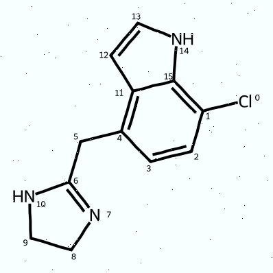 Clc1ccc(CC2=NCCN2)c2cc[nH]c12